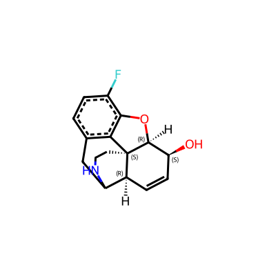 O[C@H]1C=C[C@H]2C3Cc4ccc(F)c5c4[C@@]2(CCN3)[C@H]1O5